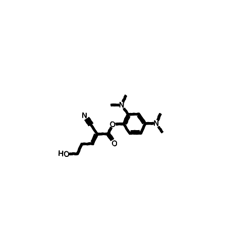 CN(C)c1ccc(OC(=O)C(C#N)=CCCO)c(N(C)C)c1